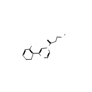 COCCC(=O)N1C=COC(C2=C(O)C=CCC2)=C1